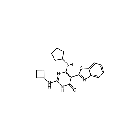 O=c1[nH]c(NC2CCC2)nc(NC2CCCC2)c1-c1nc2ccccc2s1